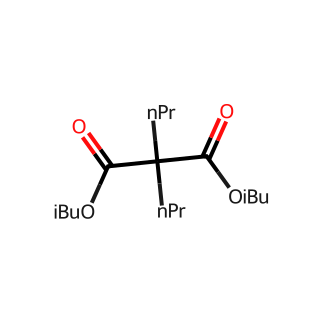 CCCC(CCC)(C(=O)OCC(C)C)C(=O)OCC(C)C